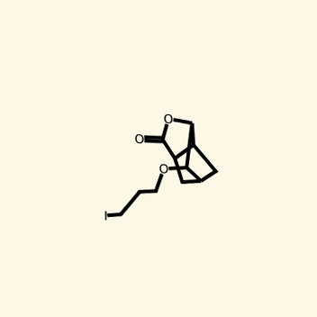 O=C1OC2C3CC(CC13)C2OCCCI